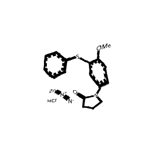 COc1ccc(N2CCCC2=O)cc1Sc1ccccc1.Cl.[N-]=[N+]=[Zn]